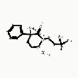 C[C@@H]1CC[C@](N)(c2ccccc2)C(=O)N1CCC(F)(F)F